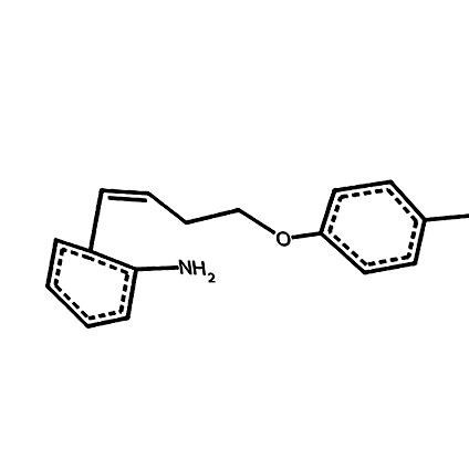 Cc1ccc(OCC/C=C\c2ccccc2N)cc1